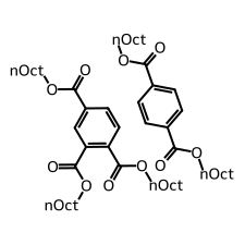 CCCCCCCCOC(=O)c1ccc(C(=O)OCCCCCCCC)c(C(=O)OCCCCCCCC)c1.CCCCCCCCOC(=O)c1ccc(C(=O)OCCCCCCCC)cc1